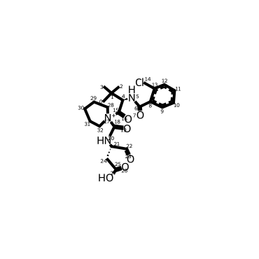 CC(C)(C)[C@H](NC(=O)c1ccccc1Cl)C(=O)[N+]1(C(=O)N[C@H](C=O)CC(=O)O)CCCCC1